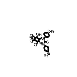 CCOc1ccc(NC(=S)Nc2ccc(OCC)cc2)cc1.Oc1c(Cl)c(Cl)c(Cl)c(Cl)c1Cl.[Nb]